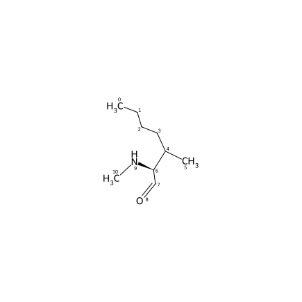 CCCCC(C)[C@@H](C=O)NC